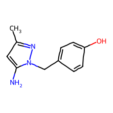 Cc1cc(N)n(Cc2ccc(O)cc2)n1